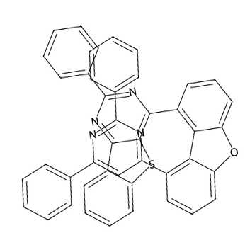 c1ccc(-c2cc(-c3cccc4oc5cccc(-c6nc(-c7ccccc7)nc7c6sc6ccccc67)c5c34)nc(-c3ccccc3)n2)cc1